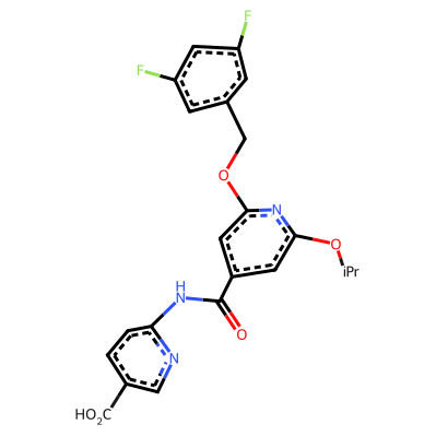 CC(C)Oc1cc(C(=O)Nc2ccc(C(=O)O)cn2)cc(OCc2cc(F)cc(F)c2)n1